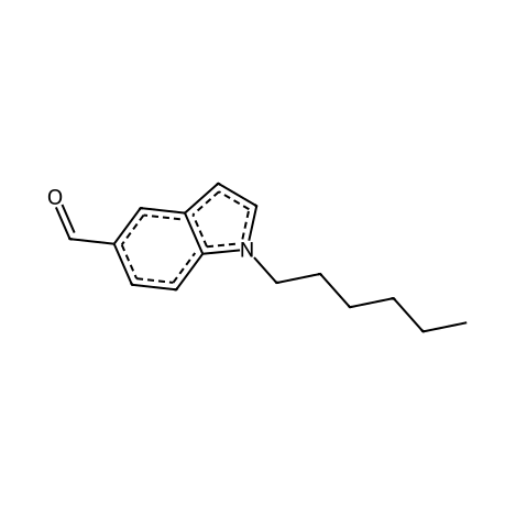 CCCCCCn1ccc2cc(C=O)ccc21